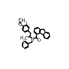 COc1ccc(CC(C)N(Cc2ccccc2)C(=O)c2cccc3c2-c2ccccc2C3)cc1